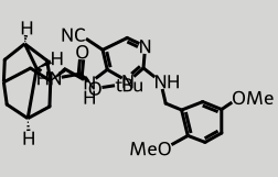 COc1ccc(OC)c(CNc2ncc(C#N)c(NC[C@]34CC5C[C@H](C3)[C@@H](NC(=O)OC(C)(C)C)[C@@H](C5)C4)n2)c1